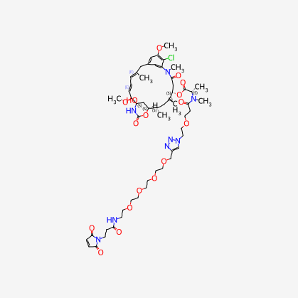 COc1cc2cc(c1Cl)N(C)C(=O)C[C@H](OC(=O)[C@H](C)N(C)C(=O)CCOCCn1cc(COCCOCCOCCOCCNC(=O)CCN3C(=O)C=CC3=O)nn1)[C@@H](C)C[C@H](C)[C@@H]1C[C@@](O)(NC(=O)O1)C(OC)/C=C/C=C(\C)C2